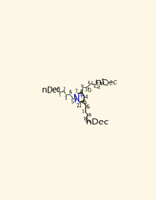 CCCCCCCCCCCCCCC[n+]1cc(CCCCCCCCCCCCCC)cc(CCCCCCCCCCCCCC)c1